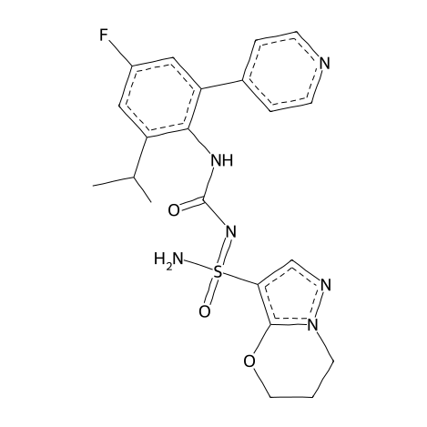 CC(C)c1cc(F)cc(-c2ccncc2)c1NC(=O)N=S(N)(=O)c1cnn2c1OCCC2